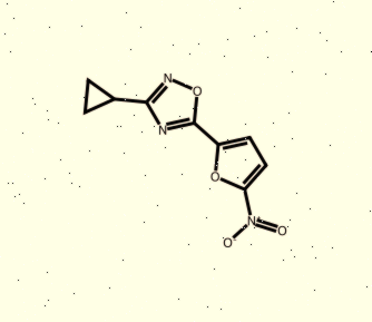 O=[N+]([O-])c1ccc(-c2nc(C3CC3)no2)o1